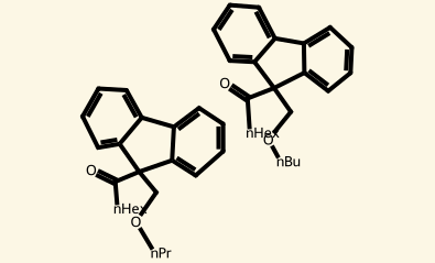 CCCCCCC(=O)C1(COCCC)c2ccccc2-c2ccccc21.CCCCCCC(=O)C1(COCCCC)c2ccccc2-c2ccccc21